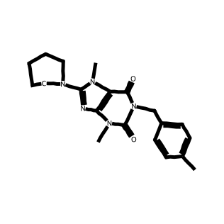 Cc1ccc(Cn2c(=O)c3c(nc(N4CCCCC4)n3C)n(C)c2=O)cc1